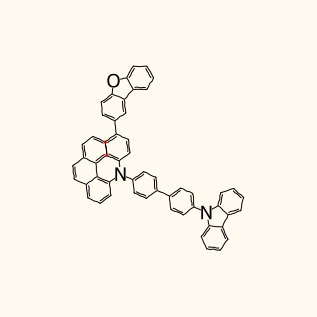 c1ccc2c(c1)ccc1cccc(N(c3ccc(-c4ccc(-n5c6ccccc6c6ccccc65)cc4)cc3)c3ccc(-c4ccc5oc6ccccc6c5c4)cc3)c12